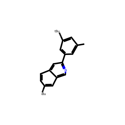 CCC(C)c1ccc2cc(-c3cc(C)cc(C(C)(C)C)c3)ncc2c1